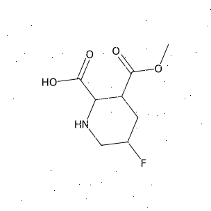 COC(=O)C1CC(F)CNC1C(=O)O